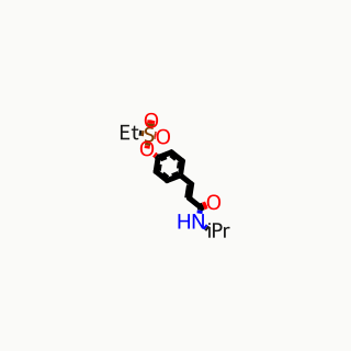 CCS(=O)(=O)Oc1ccc(C=CC(=O)NC(C)C)cc1